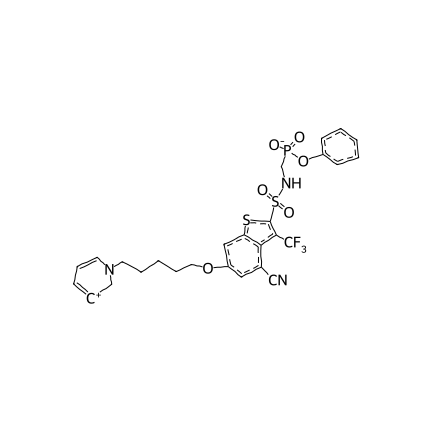 N#Cc1cc(OCCCCCN2C=CC=[C+]C2)cc2sc(S(=O)(=O)NCP(=O)([O-])Oc3ccccc3)c(C(F)(F)F)c12